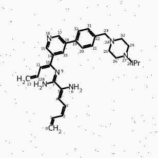 C=C\C=C/C=C(N)/C(N)=N/C(=C\C=C)c1cncc(-c2ccc(CN3CCN(C(C)C)CC3)cc2)c1